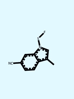 Cc1cn(SF)c2cc(C#N)ccc12